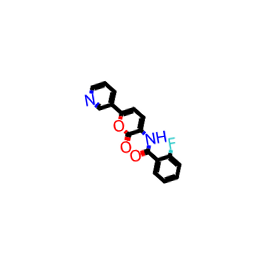 O=C(Nc1ccc(-c2cccnc2)oc1=O)c1ccccc1F